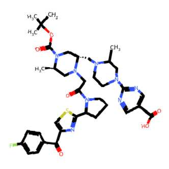 CC1CN(c2ncc(C(=O)O)cn2)CCN1C[C@H]1CN(C(=O)OC(C)(C)C)[C@H](C)CN1CC(=O)N1CCCC1c1nc(C(=O)c2ccc(F)cc2)cs1